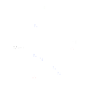 COc1cc(-n2cc(F)c(F)c2)ccc1-n1ccc(=O)c(-c2cc(C)nn2-c2cccc(OC(F)(F)F)c2)n1